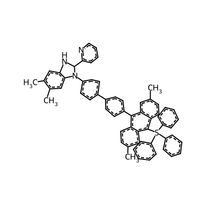 Cc1ccc2c(S(c3ccccc3)(c3ccccc3)c3ccccc3)c3cc(C)ccc3c(-c3ccc(-c4ccc(N5c6cc(C)c(C)cc6NC5c5ccccn5)cc4)cc3)c2c1